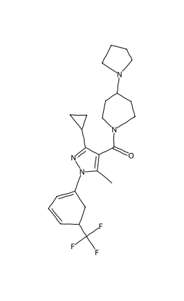 Cc1c(C(=O)N2CCC(N3CCCC3)CC2)c(C2CC2)nn1C1=CC=CC(C(F)(F)F)C1